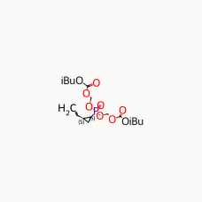 C=C[C@@H]1C[C@@H]1P(=O)(OCOC(=O)OCC(C)C)OCOC(=O)OCC(C)C